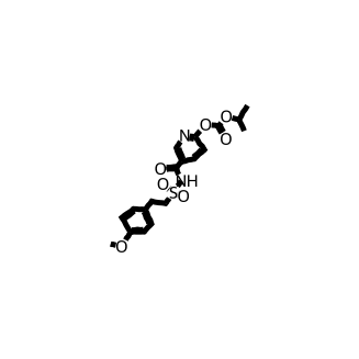 COc1ccc(CCS(=O)(=O)NC(=O)c2ccc(OC(=O)OC(C)C)nc2)cc1